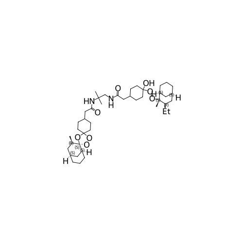 CC[C@@H]1C[C@@H]2CCC[C@@H](C2)[C@@]1(C)OOC1(O)CCC(CC(=O)NCC(C)(C)NC(=O)CC2CCC3(CC2)OO[C@]2(O3)[C@H]3CCC[C@H](C3)C[C@H]2C)CC1